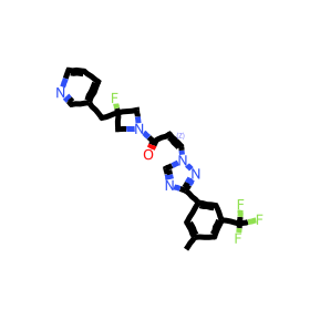 Cc1cc(-c2ncn(/C=C\C(=O)N3CC(F)(Cc4cccnc4)C3)n2)cc(C(F)(F)F)c1